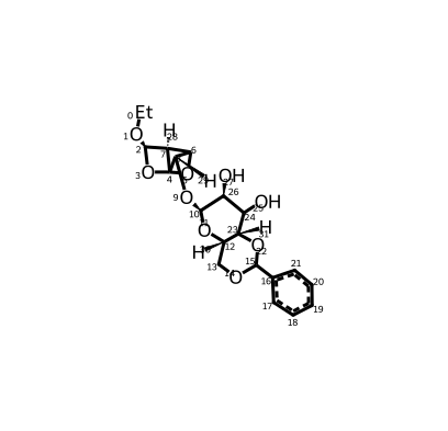 CCO[C@@H]1OC23OC([C@H]12)[C@@H]3O[C@@H]1O[C@H]2COC(c3ccccc3)O[C@H]2C(O)[C@@H]1O